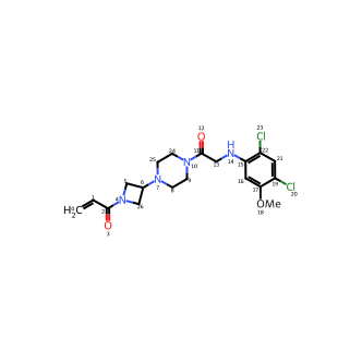 C=CC(=O)N1CC(N2CCN(C(=O)CNc3cc(OC)c(Cl)cc3Cl)CC2)C1